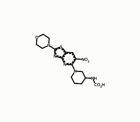 O=C(O)NC1CCCN(c2nc3nc(N4CCOCC4)sc3cc2[N+](=O)[O-])C1